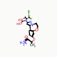 C[C@H](Oc1ccc2c(c1)OCCn1nc(N3C(O)OC[C@H]3C(F)F)cc1-2)C(N)=O